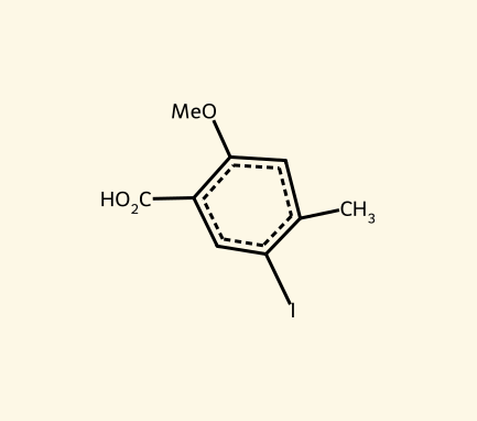 COc1cc(C)c(I)cc1C(=O)O